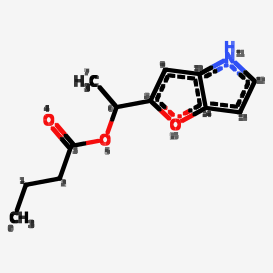 CCCC(=O)OC(C)c1cc2[nH]ccc2o1